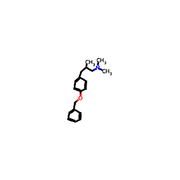 CC(Cc1ccc(OCc2ccccc2)cc1)CN(C)C